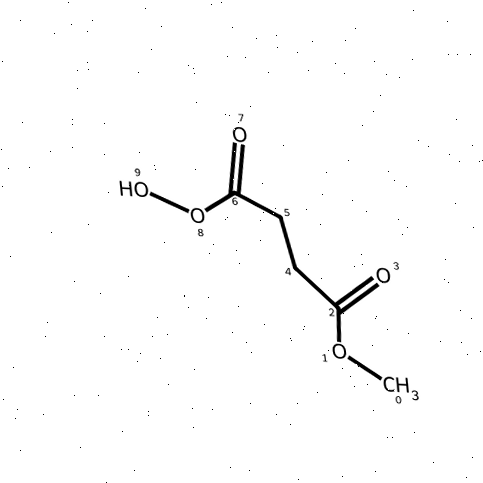 COC(=O)CCC(=O)OO